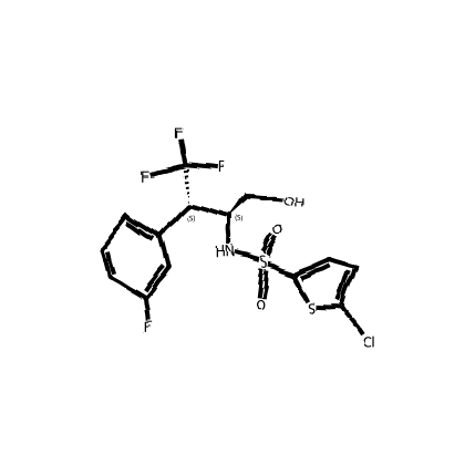 O=S(=O)(N[C@H](CO)[C@H](c1cccc(F)c1)C(F)(F)F)c1ccc(Cl)s1